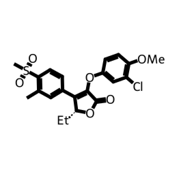 CC[C@H]1OC(=O)C(Oc2ccc(OC)c(Cl)c2)=C1c1ccc(S(C)(=O)=O)c(C)c1